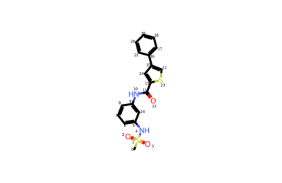 CS(=O)(=O)Nc1cccc(NC(=O)c2cc(-c3ccccc3)cs2)c1